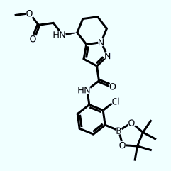 COC(=O)CN[C@H]1CCCn2nc(C(=O)Nc3cccc(B4OC(C)(C)C(C)(C)O4)c3Cl)cc21